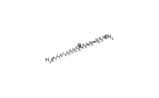 CCCCCCCCCCCCCCCCCC(=O)CCCCCCCCCCCCCCCC